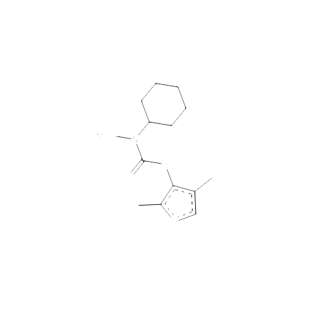 CON(C(=O)Oc1c(C)coc1C)C1CCCCC1